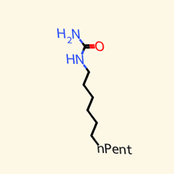 CCCCCCCCCCCNC(N)=O